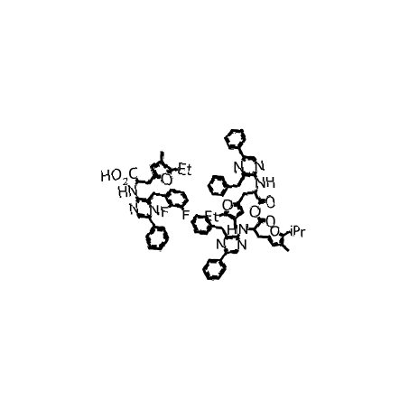 CCc1oc(CC(Nc2ncc(-c3ccccc3)nc2Cc2cccc(F)c2F)C(=O)O)cc1C.CCc1oc(CC(Nc2ncc(-c3ccccc3)nc2Cc2ccccc2)C(=O)OC(=O)C(Cc2cc(C)c(C(C)C)o2)Nc2ncc(-c3ccccc3)nc2Cc2ccccc2)cc1C